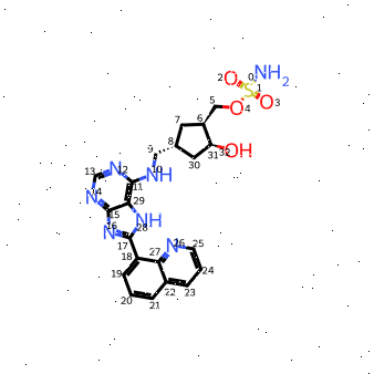 NS(=O)(=O)OC[C@@H]1C[C@@H](CNc2ncnc3nc(-c4cccc5cccnc45)[nH]c23)C[C@@H]1O